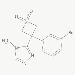 Cn1cnnc1C1(c2cccc(Br)c2)CS(=O)(=O)C1